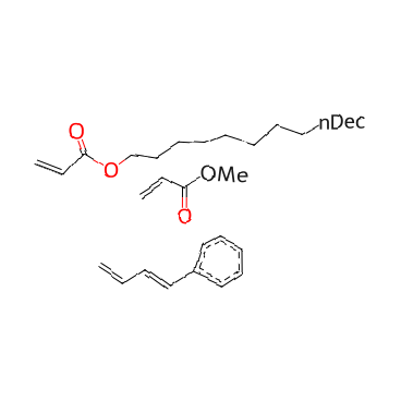 C=CC(=O)OC.C=CC(=O)OCCCCCCCCCCCCCCCCCC.C=CC=Cc1ccccc1